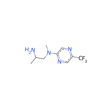 CC(N)CN(C)c1cnc(C(F)(F)F)cn1